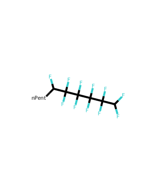 CCCCCC(F)C(F)(F)C(F)(F)C(F)(F)C(F)(F)[C](F)F